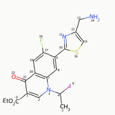 CCOC(=O)c1cn(C(C)I)c2cc(-c3nc(CN)cs3)c(F)cc2c1=O